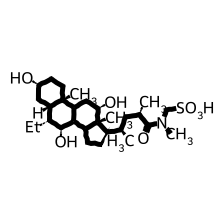 CC[C@H]1[C@@H](O)C2C3CC[C@H]([C@H](C)C[C@H](C)C(=O)N(C)CS(=O)(=O)O)[C@@]3(C)[C@@H](O)CC2[C@@]2(C)CC[C@@H](O)C[C@@H]12